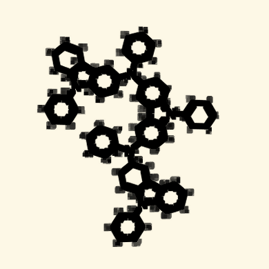 C1=CCCC(n2c3ccc(N(c4ccccc4)c4ccc5c(c4)c4c(n5-c5ccccc5)CCC=C4)cc3c3cc(N(c4ccccc4)C4C=c5c(n(-c6ccccc6)c6ccccc56)=CC4)ccc32)=C1